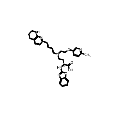 Cc1ccc(OCCN(CCCCc2ccc3c(n2)NCCC3)CC[C@H](Nc2nc3ccccc3o2)C(=O)O)cn1